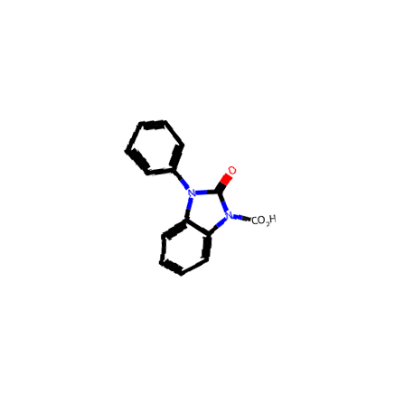 O=C(O)n1c(=O)n(-c2ccccc2)c2ccccc21